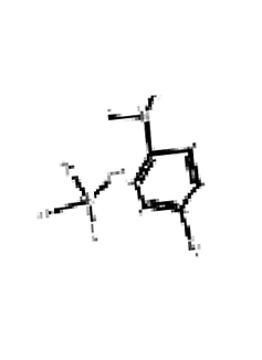 CN(C)c1ccc(Br)cc1.F[B-](F)(F)F